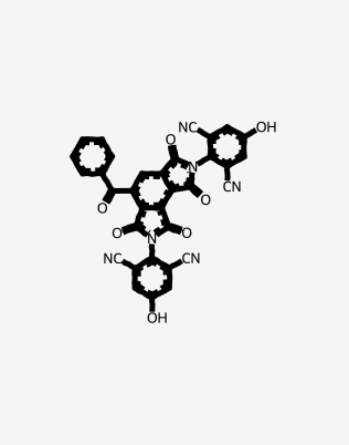 N#Cc1cc(O)cc(C#N)c1-n1c(=O)c2cc(C(=O)c3ccccc3)c3c(=O)n(-c4c(C#N)cc(O)cc4C#N)c(=O)c3c2c1=O